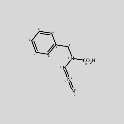 [N-]=[N+]=NN(Cc1ccccc1)C(=O)O